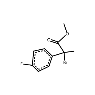 COC(=O)C(C)(Br)c1ccc(F)cc1